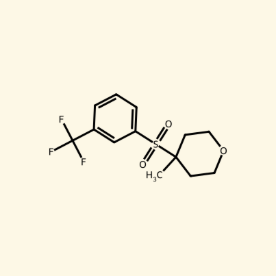 CC1(S(=O)(=O)c2cccc(C(F)(F)F)c2)CCOCC1